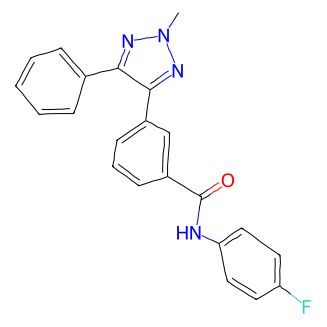 Cn1nc(-c2ccccc2)c(-c2cccc(C(=O)Nc3ccc(F)cc3)c2)n1